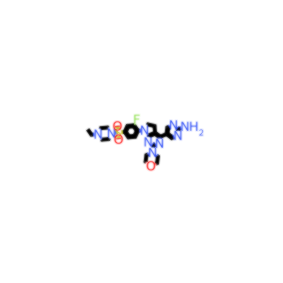 CCN1CCN(S(=O)(=O)c2ccc(N3CCc4c(-c5cnc(N)nc5)nc(N5CCOCC5)nc43)c(F)c2)CC1